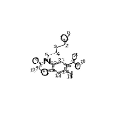 COCCCCN1C(=O)[C@@H](C)Oc2cc(I)c(C(=O)OC)cc21